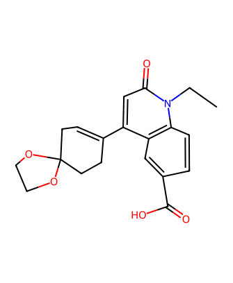 CCn1c(=O)cc(C2=CCC3(CC2)OCCO3)c2cc(C(=O)O)ccc21